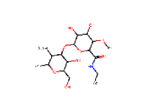 CC(=O)CNC(=O)C1OC(OC2C(O)C(CO)OC(C(C)C)C2NC(C)=O)C(O)C(O)C1OC(C)C